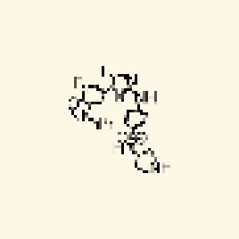 CC(C)N1CCOc2c(F)cc(-c3nc(Nc4ccc(S(=O)(=O)NC5CCNCC5)cc4)ncc3F)cc21